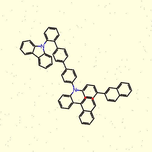 c1ccc(N(c2ccc(-c3ccc(-c4ccccc4-n4c5ccccc5c5ccccc54)cc3)cc2)c2ccc(-c3ccc4ccccc4c3)cc2)c(-c2cccc3ccccc23)c1